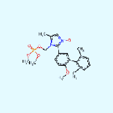 COc1ccc(-c2n(COP(=O)(OC)OC)c(C)c[n+]2[O-])cc1-c1c(C)cccc1C